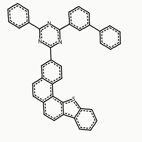 c1ccc(-c2cccc(-c3nc(-c4ccccc4)nc(-c4ccc5c(ccc6ccc7c8ccccc8sc7c65)c4)n3)c2)cc1